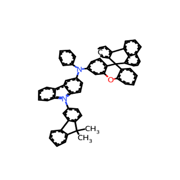 CC1(C)c2ccccc2-c2cc(-n3c4ccccc4c4cc(N(c5ccccc5)c5ccc6c(c5)Oc5ccccc5C65c6ccccc6-c6cccc7cccc5c67)ccc43)ccc21